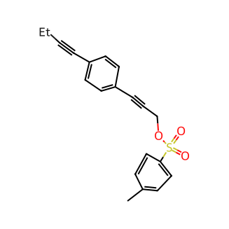 CCC#Cc1ccc(C#CCOS(=O)(=O)c2ccc(C)cc2)cc1